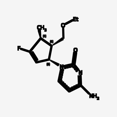 CCOC[C@H]1[C@H](C)C(F)=C[C@H]1n1ccc(N)nc1=O